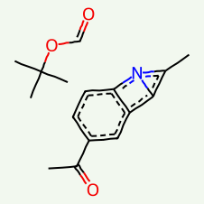 CC(=O)c1ccc2c(c1)c1c(C)n2-1.CC(C)(C)OC=O